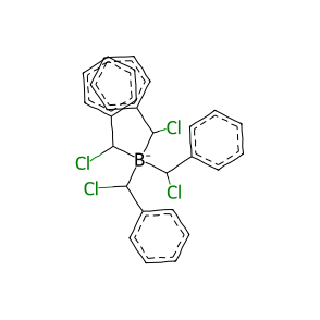 ClC(c1ccccc1)[B-](C(Cl)c1ccccc1)(C(Cl)c1ccccc1)C(Cl)c1ccccc1